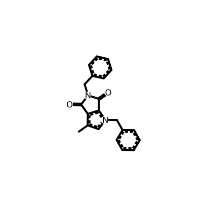 Cc1cn(Cc2ccccc2)c2c1C(=O)N(Cc1ccccc1)C2=O